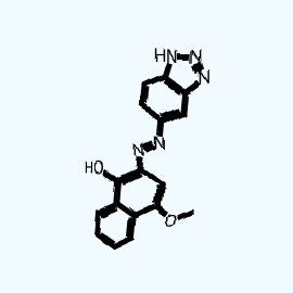 COc1cc(/N=N/c2ccc3[nH]nnc3c2)c(O)c2ccccc12